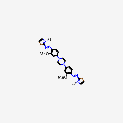 CC[n+]1ccsc1/N=N/c1ccc(N2CCN(c3ccc(/N=N/c4scc[n+]4CC)c(OC)c3)CC2)cc1OC